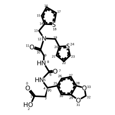 O=C(O)C[C@@H](NC(=O)NCC(=O)N(Cc1cccs1)Cc1cccs1)c1ccc2c(c1)OCO2